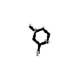 CN1CCNC(Cl)C1